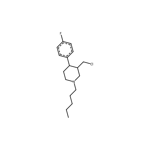 CCCCCN1CCC(c2ccc(F)cc2)C(CCl)C1